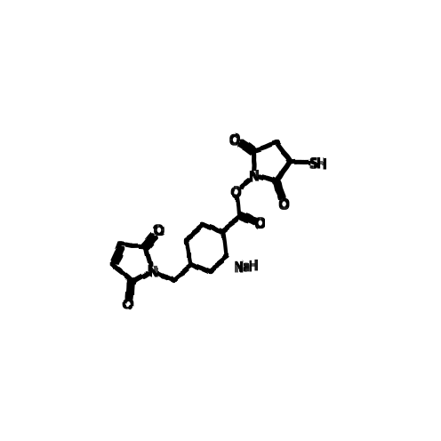 O=C(ON1C(=O)CC(S)C1=O)C1CCC(CN2C(=O)C=CC2=O)CC1.[NaH]